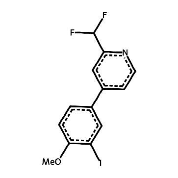 COc1ccc(-c2ccnc(C(F)F)c2)cc1I